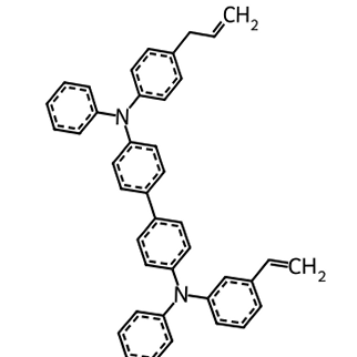 C=CCc1ccc(N(c2ccccc2)c2ccc(-c3ccc(N(c4ccccc4)c4cccc(C=C)c4)cc3)cc2)cc1